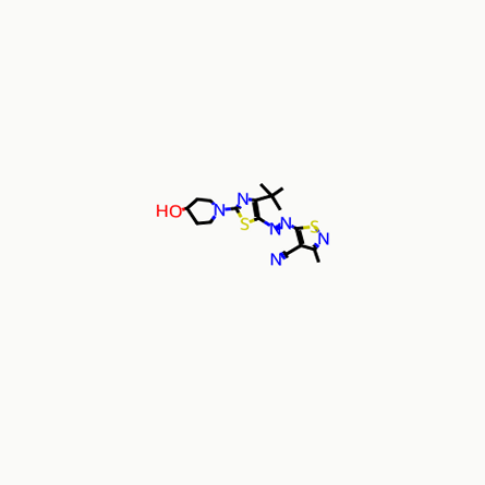 Cc1nsc(/N=N/c2sc(N3CCC(O)CC3)nc2C(C)(C)C)c1C#N